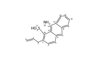 C=CCc1ccc2cc3ccccc3cc2c1S(=O)(=O)O.N